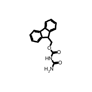 NC(=O)NC(=O)OCC1c2ccccc2-c2ccccc21